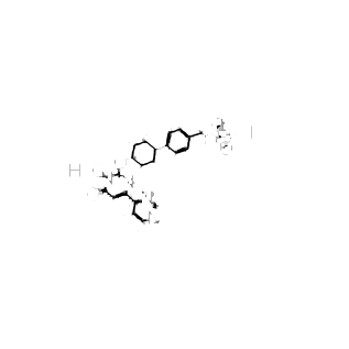 Cn1c(O[C@H]2CC[C@H](c3ccc(COS(C)(=O)=O)cc3)CC2)nc(-c2ccncn2)cc1=O